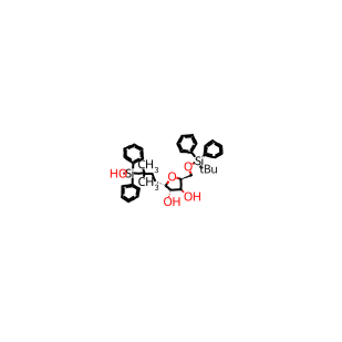 CC(C)(CC[C@@H]1O[C@@H](CO[Si](c2ccccc2)(c2ccccc2)C(C)(C)C)[C@@H](O)[C@@H]1O)[Si](O)(c1ccccc1)c1ccccc1